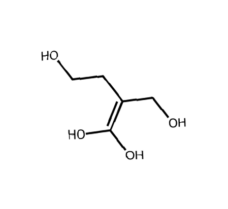 OCCC(CO)=C(O)O